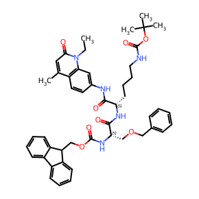 CCn1c(=O)cc(C)c2ccc(NC(=O)[C@H](CCCCNC(=O)OC(C)(C)C)NC(=O)[C@H](COCc3ccccc3)NC(=O)OCC3c4ccccc4-c4ccccc43)cc21